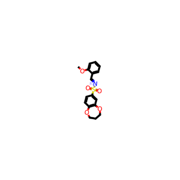 COc1ccccc1/C=N/S(=O)(=O)c1ccc2c(c1)OCCCO2